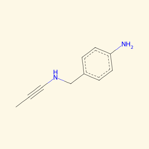 CC#CNCc1ccc(N)cc1